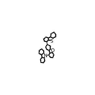 c1cc(-n2c3ccccc3c3ccccc32)c2c(c1)oc1cc(-c3cccc4c3sc3ccccc34)ccc12